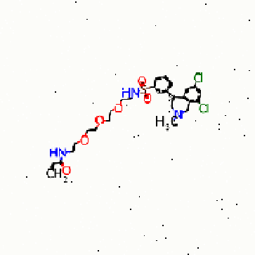 C=CC(=O)NCCOCCOCCOCCNS(=O)(=O)c1cccc([C@@H]2CN(C)Cc3c(Cl)cc(Cl)cc32)c1